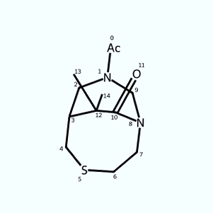 CC(=O)N1CC2CSCCN(C1)C(=O)C2(C)C